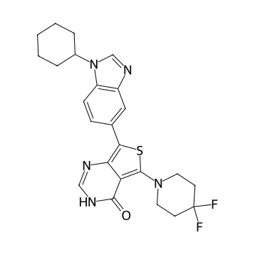 O=c1[nH]cnc2c(-c3ccc4c(c3)ncn4C3CCCCC3)sc(N3CCC(F)(F)CC3)c12